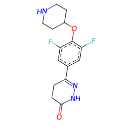 O=C1CCC(c2cc(F)c(OC3CCNCC3)c(F)c2)=NN1